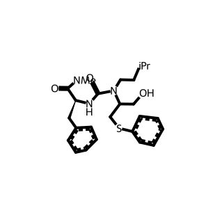 CNC(=O)[C@H](Cc1ccccc1)NC(=O)N(CCC(C)C)C(CO)CSc1ccccc1